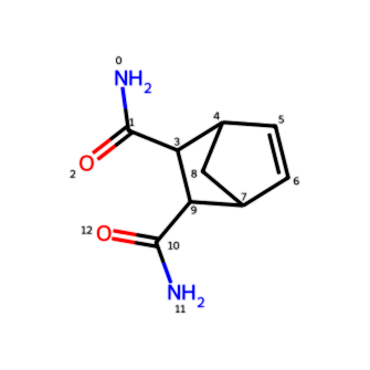 NC(=O)C1C2C=CC(C2)C1C(N)=O